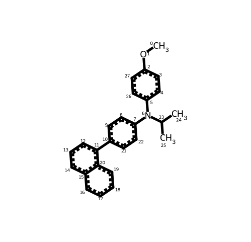 COc1ccc(N(c2ccc(-c3cccc4ccccc34)cc2)C(C)C)cc1